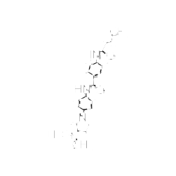 CN(C)C1CCN(c2ccc(NC(=O)c3ccc(NC(=O)CCC(F)(F)F)cc3)cc2)C1